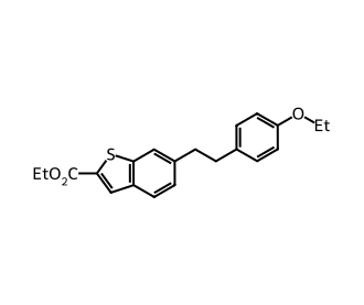 CCOC(=O)c1cc2ccc(CCc3ccc(OCC)cc3)cc2s1